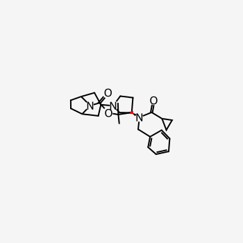 CC(C)(C)OC(=O)N1C2CCC1CC(N1CC[C@@H](N(Cc3ccccc3)C(=O)C3CC3)C1)C2